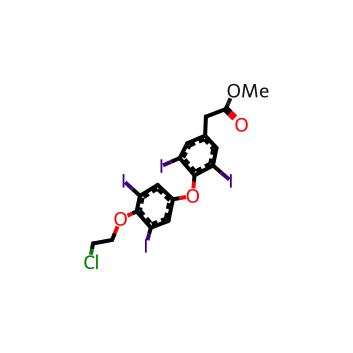 COC(=O)Cc1cc(I)c(Oc2cc(I)c(OCCCl)c(I)c2)c(I)c1